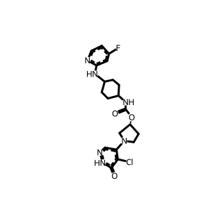 O=C(NC1CCC(Nc2cc(F)ccn2)CC1)O[C@@H]1CCN(c2cn[nH]c(=O)c2Cl)C1